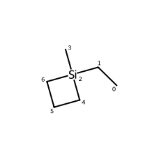 CC[Si]1(C)CCC1